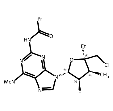 CC[C@@]1(CCl)O[C@@H](n2cnc3c(NC)nc(NC(=O)C(C)C)nc32)[C@H](F)[C@@H]1C